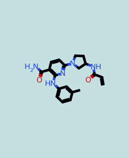 C=CC(=O)NC1CCN(c2ccc(C(N)=O)c(Nc3cccc(C)c3)n2)C1